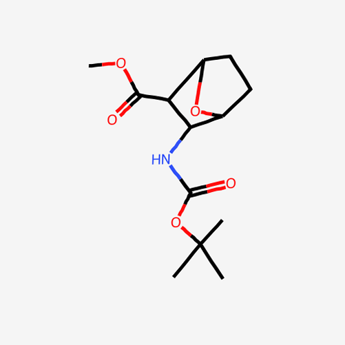 COC(=O)C1C2CCC(O2)C1NC(=O)OC(C)(C)C